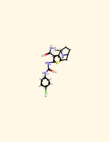 CN1C2CC[C@H]1c1c(sc(NC(=O)Nc3ccc(Cl)cc3)c1C(N)=O)C2